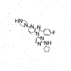 Fc1ccc(-c2nc3nc(N4CCNCC4)ccc3n2-c2ccnc(NC3CCCC3)n2)cc1